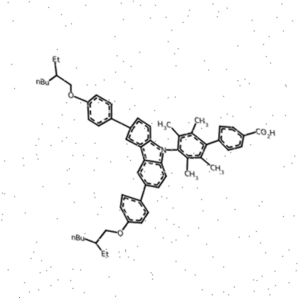 CCCCC(CC)COc1ccc(-c2ccc3c(c2)c2cc(-c4ccc(OCC(CC)CCCC)cc4)ccc2n3-c2c(C)c(C)c(-c3ccc(C(=O)O)cc3)c(C)c2C)cc1